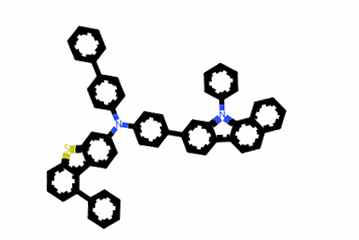 c1ccc(-c2ccc(N(c3ccc(-c4ccc5c6ccc7ccccc7c6n(-c6ccccc6)c5c4)cc3)c3ccc4c(c3)sc3cccc(-c5ccccc5)c34)cc2)cc1